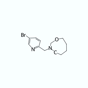 Brc1ccc(CN2CCCCCOC2)nc1